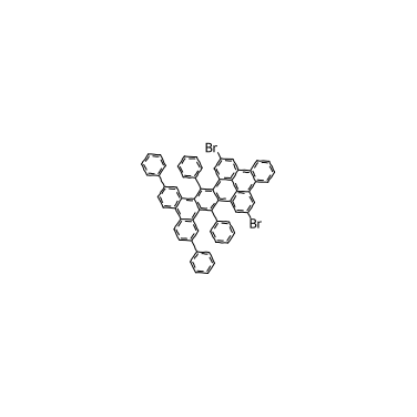 Brc1cc2c3ccccc3c3cc(Br)cc4c5c(-c6ccccc6)c6c7cc(-c8ccccc8)ccc7c7ccc(-c8ccccc8)cc7c6c(-c6ccccc6)c5c(c1)c2c34